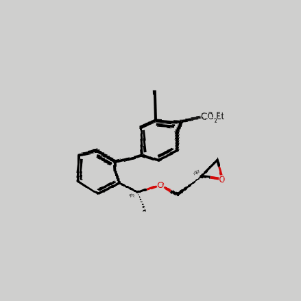 CCOC(=O)c1ccc(-c2ccccc2[C@@H](C)OC[C@H]2CO2)cc1C